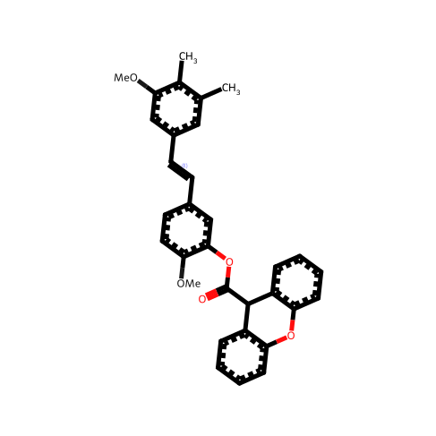 COc1ccc(/C=C/c2cc(C)c(C)c(OC)c2)cc1OC(=O)C1c2ccccc2Oc2ccccc21